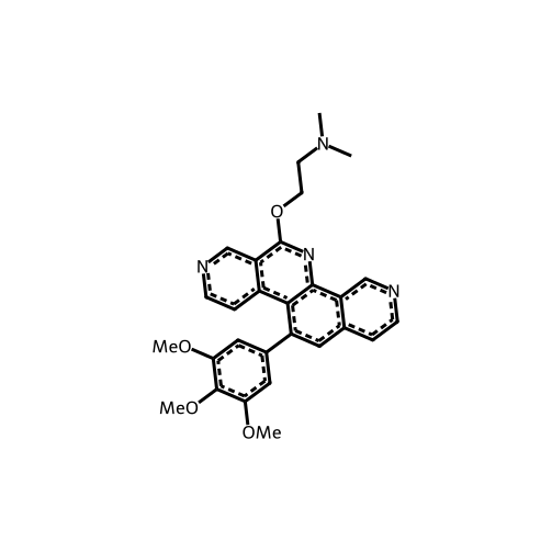 COc1cc(-c2cc3ccncc3c3nc(OCCN(C)C)c4cnccc4c23)cc(OC)c1OC